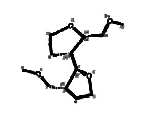 COC[C@H]1CCO[C@@H]1[C@@H]1CCO[C@H]1COC